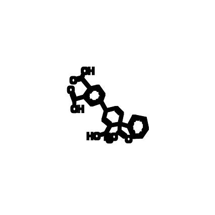 O=C(O)C1=CC(c2ccc(C(=O)O)c(C(=O)O)c2)C=CC1(C(=O)O)c1ccccc1